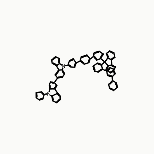 c1ccc(-c2cccc(-c3ccccc3C3(c4cccc(-c5ccc(-c6ccc(-n7c8ccccc8c8cc(-c9ccc%10c(c9)c9ccccc9n%10-c9ccccc9)ccc87)cc6)cc5)c4)c4ccccc4-c4ccccc43)c2)cc1